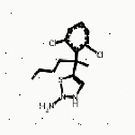 CCCCC(C)(C1=CNN(N)S1)c1c(Cl)cccc1Cl